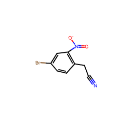 N#CCc1ccc(Br)cc1[N+](=O)[O-]